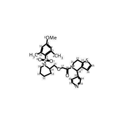 COc1cc(C)c(S(=O)(=O)N2CCCCC2COCC(=O)N2CCc3sccc3C2c2ccncc2)c(C)c1